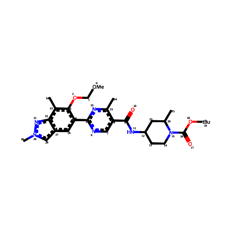 COCOc1c(-c2ncc(C(=O)NC3CCN(C(=O)OC(C)(C)C)C(C)C3)c(C)n2)cc2cn(C)nc2c1C